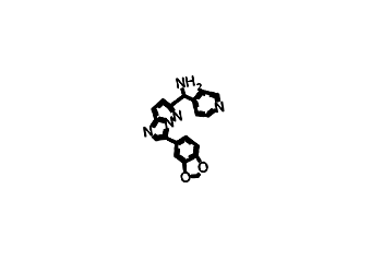 NC(c1ccncc1)c1ccc2ncc(-c3ccc4c(c3)OCO4)n2n1